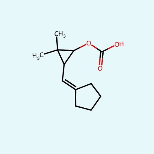 CC1(C)C(C=C2CCCC2)C1OC(=O)O